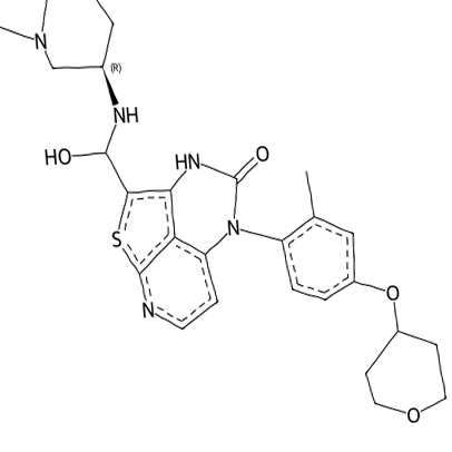 Cc1cc(OC2CCOCC2)ccc1N1C(=O)Nc2c(C(O)N[C@@H]3CCCN(C)C3)sc3nccc1c23